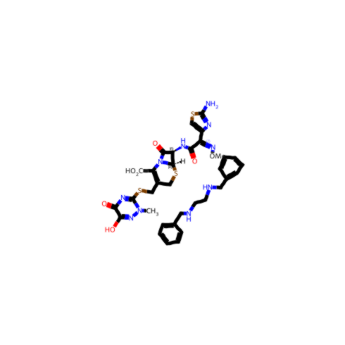 CO/N=C(\C(=O)N[C@@H]1C(=O)N2C(C(=O)O)=C(CSc3nc(=O)c(O)nn3C)CS[C@H]12)c1csc(N)n1.c1ccc(CNCCNCc2ccccc2)cc1